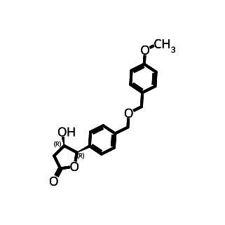 COc1ccc(COCc2ccc([C@H]3OC(=O)C[C@H]3O)cc2)cc1